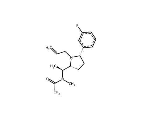 C=CCN1[C@@H]([C@H](C)N(C)C(C)=O)CC[C@H]1c1cccc(F)c1